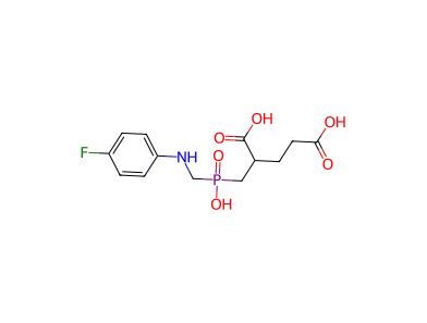 O=C(O)CCC(CP(=O)(O)CNc1ccc(F)cc1)C(=O)O